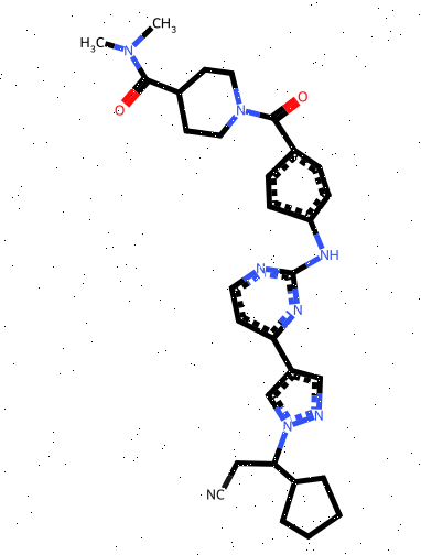 CN(C)C(=O)C1CCN(C(=O)c2ccc(Nc3nccc(-c4cnn(C(CC#N)C5CCCC5)c4)n3)cc2)CC1